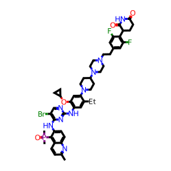 CCc1cc(Nc2ncc(Br)c(Nc3ccc4nc(C)ccc4c3P(C)(C)=O)n2)c(OC2CC2)cc1N1CCC(N2CCN(CCc3cc(F)c(C4CCC(=O)NC4=O)c(F)c3)CC2)CC1